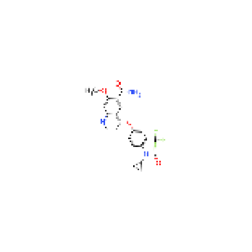 COc1cc2nccc(Oc3ccc(N([C]=O)C4CC4)c(C(F)(F)F)c3)c2cc1C(N)=O